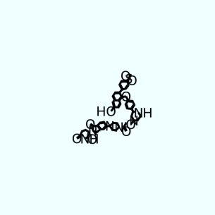 CS(=O)(=O)c1ccc(-c2ccc3cc(O)ccc3c2Oc2ccc(C3CN(OCC(=O)N4CCN(c5ccc6c(c5)CN(C5CCC(=O)NC5=O)C6=O)CC4)CCN3)cc2)cc1